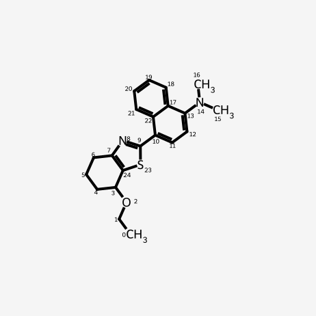 CCOC1CCCc2nc(-c3ccc(N(C)C)c4ccccc34)sc21